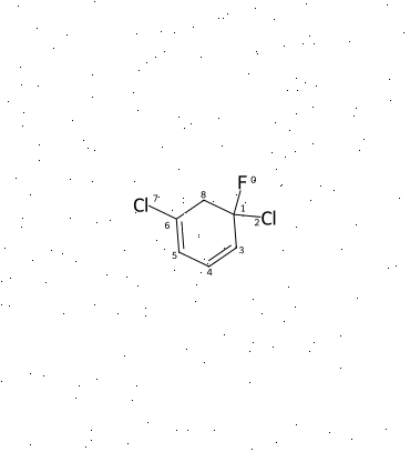 FC1(Cl)C=CC=C(Cl)C1